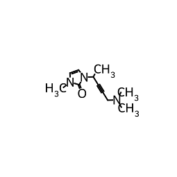 CC(C#CCN(C)C)n1ccn(C)c1=O